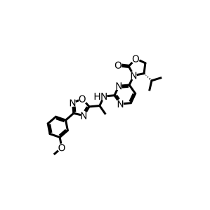 COc1cccc(-c2noc(C(C)Nc3nccc(N4C(=O)OC[C@@H]4C(C)C)n3)n2)c1